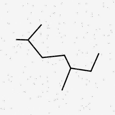 CCC(C)CCC(C)C